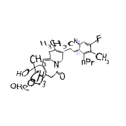 CCCC1=C(C)C(F)=CC(=N/C)/C1=C\CC1=C(C)CC2=CC(C(C)(C)O)=C(COC=O)CC(=O)N2C1